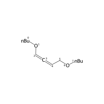 CCCCOC=C=CCOCCCC